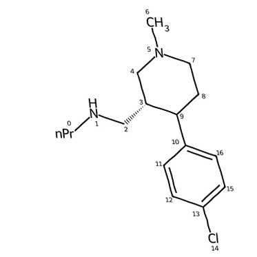 CCCNC[C@@H]1CN(C)CCC1c1ccc(Cl)cc1